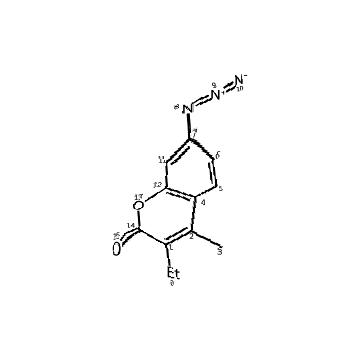 CCc1c(C)c2ccc(N=[N+]=[N-])cc2oc1=O